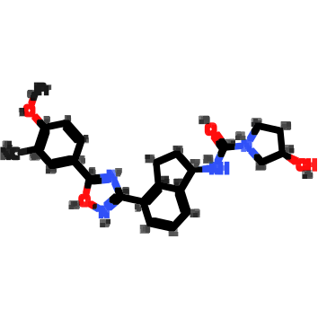 CC(C)Oc1ccc(-c2nc(-c3cccc4c3CC[C@H]4NC(=O)N3CC[C@@H](O)C3)no2)cc1C#N